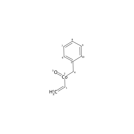 C=[CH][Co](=[O])[CH2]c1ccccc1